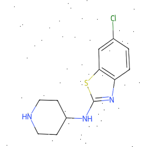 Clc1ccc2nc(NC3CCNCC3)sc2c1